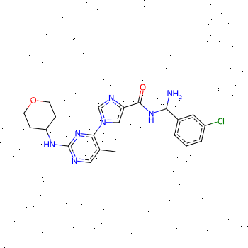 Cc1cnc(NC2CCOCC2)nc1-n1cnc(C(=O)NC(N)c2cccc(Cl)c2)c1